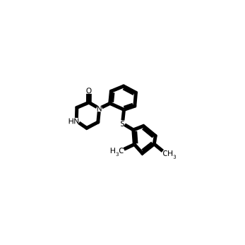 Cc1ccc(Sc2ccccc2N2CCNCC2=O)c(C)c1